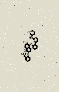 Cc1ccc2c(NS(=O)(=O)Cc3ccccc3F)cccc2c1Oc1ncccc1-c1ccnc(N[C@H]2CCCNC2)n1